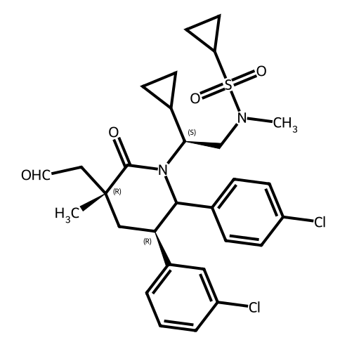 CN(C[C@H](C1CC1)N1C(=O)[C@@](C)(CC=O)C[C@H](c2cccc(Cl)c2)C1c1ccc(Cl)cc1)S(=O)(=O)C1CC1